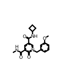 CNC(=O)c1cc(C(=O)NC2CCC2)cn(Cc2cccc(OC)c2)c1=O